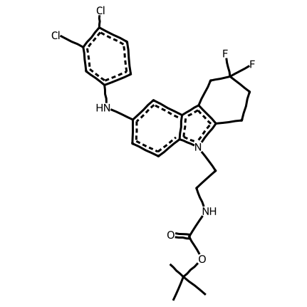 CC(C)(C)OC(=O)NCCn1c2c(c3cc(Nc4ccc(Cl)c(Cl)c4)ccc31)CC(F)(F)CC2